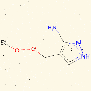 CCOOCc1c[nH]nc1N